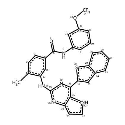 Cc1ccc(C(=O)Nc2cccc(OC(F)(F)F)c2)cc1Nc1nc(-c2cc3ccccc3s2)c2[nH]ccc2n1